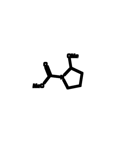 COC(=O)N1CCCC1OC